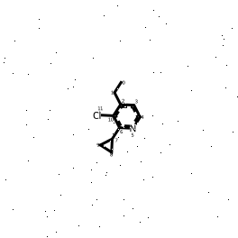 CCc1ccnc(C2CC2)c1Cl